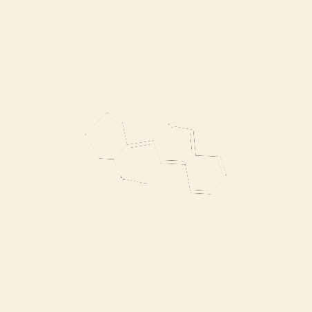 O=C1CC2=c3ccccc3=CNC2=C2C=CC=CC12